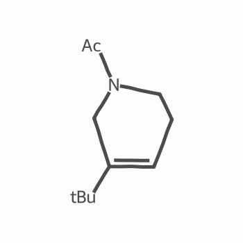 CC(=O)N1CCC=C(C(C)(C)C)C1